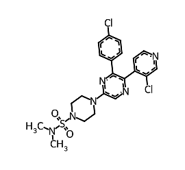 CN(C)S(=O)(=O)N1CCN(c2cnc(-c3ccncc3Cl)c(-c3ccc(Cl)cc3)n2)CC1